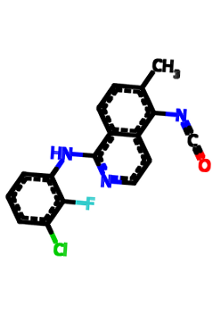 Cc1ccc2c(Nc3cccc(Cl)c3F)nccc2c1N=C=O